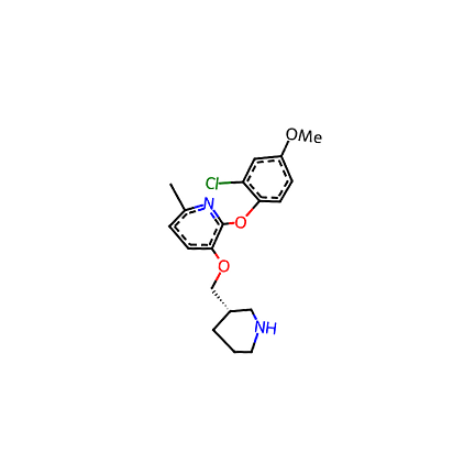 COc1ccc(Oc2nc(C)ccc2OC[C@H]2CCCNC2)c(Cl)c1